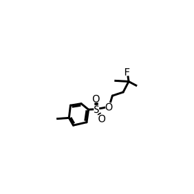 Cc1ccc(S(=O)(=O)OCCC(C)(C)F)cc1